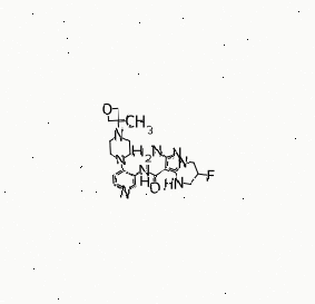 CC1(N2CCN(c3ccncc3NC(=O)c3c(N)nn4c3NCC(F)C4)CC2)COC1